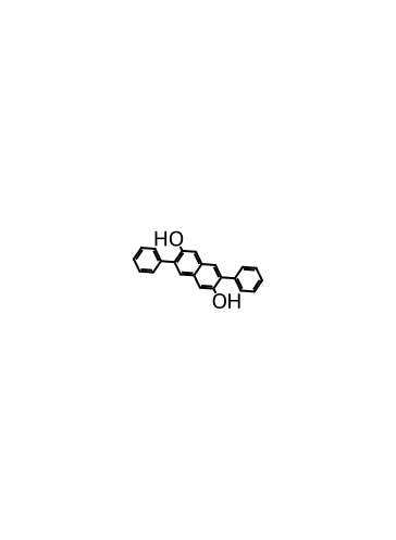 Oc1cc2cc(-c3ccccc3)c(O)cc2cc1-c1ccccc1